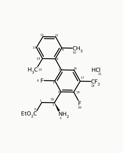 CCOC(=O)C[C@H](N)c1c(F)c(-c2c(C)cccc2C)cc(C(F)(F)F)c1F.Cl